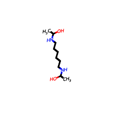 CC(O)NCCCCCCNC(C)O